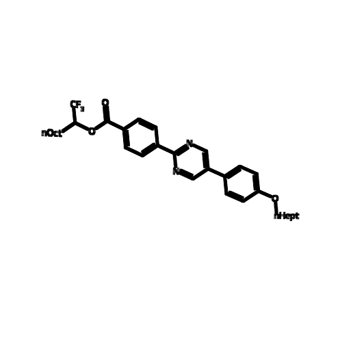 CCCCCCCCC(OC(=O)c1ccc(-c2ncc(-c3ccc(OCCCCCCC)cc3)cn2)cc1)C(F)(F)F